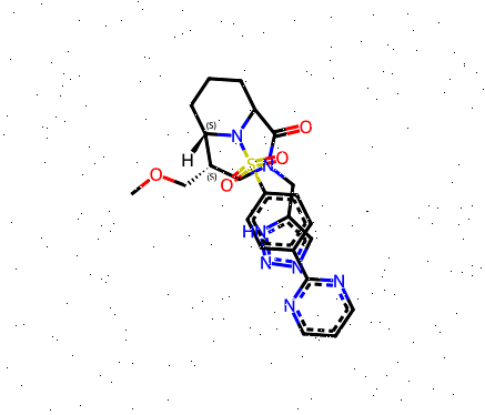 COC[C@H]1CN(Cc2cnn[nH]2)C(=O)C2CCC[C@@H]1N2S(=O)(=O)c1ccc(-c2ncccn2)cc1